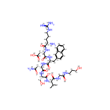 CC(C)[C@H](NC(=O)[C@H](CO)NC(=O)[C@H](CC(N)=O)NC(=O)[C@H](Cc1ccc2ccccc2c1)NC(=O)[C@H](CC(=O)O)NC(=O)[C@@H](N)CCCNC(=N)N)C(=O)NCC(=O)NCCCO